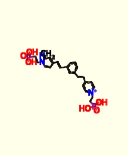 C=C/C=C(\C=C/NCCP(=O)(O)O)/C=C/c1cccc(/C=C/c2cc[n+](CCP(=O)(O)O)cc2)c1